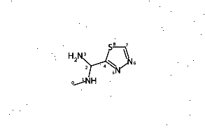 CNC(N)c1nncs1